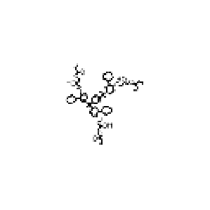 C=CC(=O)OCC(O)COc1ccc(C(C)(C)c2ccc(C(C)(c3ccc(OCC(O)COC(=O)C=C)c(C4CCCCC4)c3)c3ccc(OCC(O)COC(=O)C=C)c(C4CCCCC4)c3)cc2)cc1C1CCCCC1